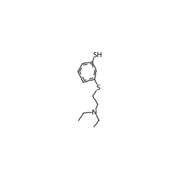 CCN(CC)CCSc1cccc(S)c1